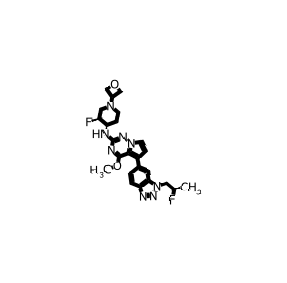 COc1nc(N[C@H]2CCN(C3COC3)C[C@@H]2F)nn2ccc(-c3ccc4nnn(C[C@@H](C)F)c4c3)c12